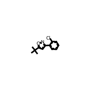 CC(C)(C)c1cc(-c2ccccc2Cl)no1